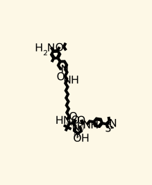 Cc1cc(N)c(OC(C)C)cc1C1CCN(CC(=O)NCCCCCCCCCC(=O)N[C@H](C(=O)N2C[C@H](O)C[C@H]2C(=O)NCc2ccc(-c3scnc3C)cc2)C(C)(C)C)CC1